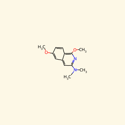 COc1ccc2c(OC)nc(N(C)C)cc2c1